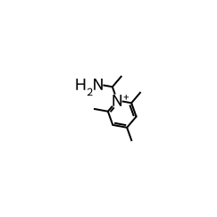 Cc1cc(C)[n+](C(C)N)c(C)c1